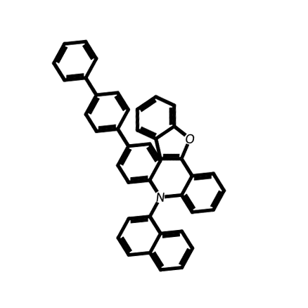 c1ccc(-c2ccc(-c3ccc(N(c4ccccc4-c4cc5ccccc5o4)c4cccc5ccccc45)cc3)cc2)cc1